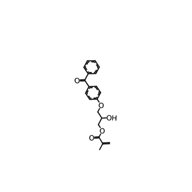 C=C(C)C(=O)OCC(O)COc1ccc(C(=O)c2ccccc2)cc1